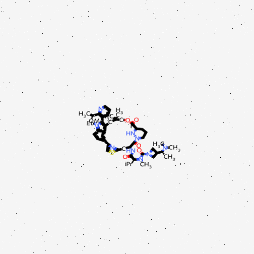 CCn1c(-c2cccnc2[C@H](C)OC)c2c3cc(ccc31)-c1csc(n1)C[C@H](NC(=O)[C@H](C(C)C)N(C)C(=O)N1CC([C@H](C)N(C)C)C1)C(=O)N1CCC[C@H](N1)C(=O)OCC(C)(C)C2